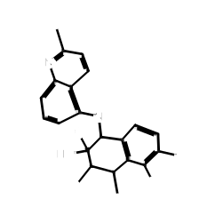 Cc1ccc2c(NC3c4ccc(F)c(O)c4C(C)C(C)C3(O)C(F)(F)F)cccc2n1